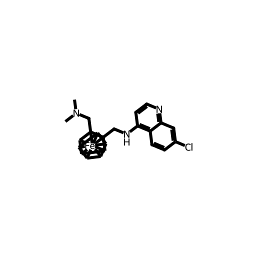 CN(C)C[C]12[CH]3[CH]4[CH]5[C]1(CNc1ccnc6cc(Cl)ccc16)[Fe]45321678[CH]2[CH]1[CH]6[CH]7[CH]28